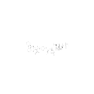 CC(C)(C)OC(=O)NCc1cncc(C(=O)Nc2ccc(Nc3cc(-c4cccc5c4oc4ccccc45)ncn3)cc2)c1